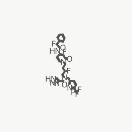 O=C(Nc1ccn(CCC(F)CN(Cc2ccc(C(F)(F)F)nc2)C(=O)c2c[nH]nn2)c(=O)c1F)C(F)c1ccccc1